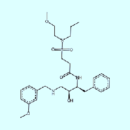 CCCN(CCOC)S(=O)(=O)CCC(=O)N[C@@H](Cc1ccccc1)[C@@H](O)CNCc1cccc(OC)c1